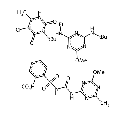 CCNc1nc(NC(C)(C)C)nc(OC)n1.COc1nc(C)nc(NC(=O)NS(=O)(=O)c2ccccc2C(=O)O)n1.Cc1[nH]c(=O)n(C(C)(C)C)c(=O)c1Cl